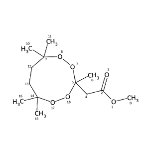 COC(=O)CC1(C)OOC(C)(C)CCC(C)(C)OO1